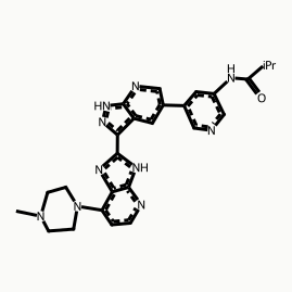 CC(C)C(=O)Nc1cncc(-c2cnc3[nH]nc(-c4nc5c(N6CCN(C)CC6)ccnc5[nH]4)c3c2)c1